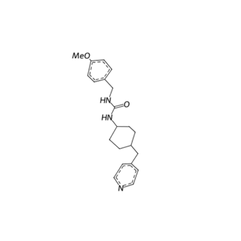 COc1ccc(CNC(=O)NC2CCC(Cc3ccncc3)CC2)cc1